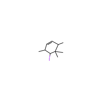 CC1C=CC(C)C(C)(C)C1I